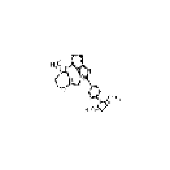 C[C@H]1CC[C@H](C)N1c1ccc(-c2nc3cccc(F)c3n2C[C@@H]2CN(C)CCO2)cn1